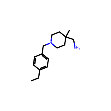 CCc1ccc(CN2CCC(C)(CN)CC2)cc1